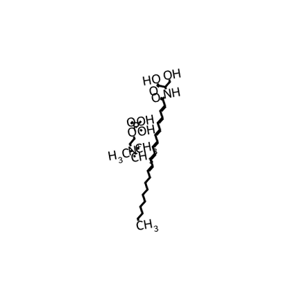 CCCCCCCCCC=CC=CC=CC=CC=CC=CC(=O)NC(CO)C(=O)O.C[N+](C)(C)CCOP(=O)(O)O